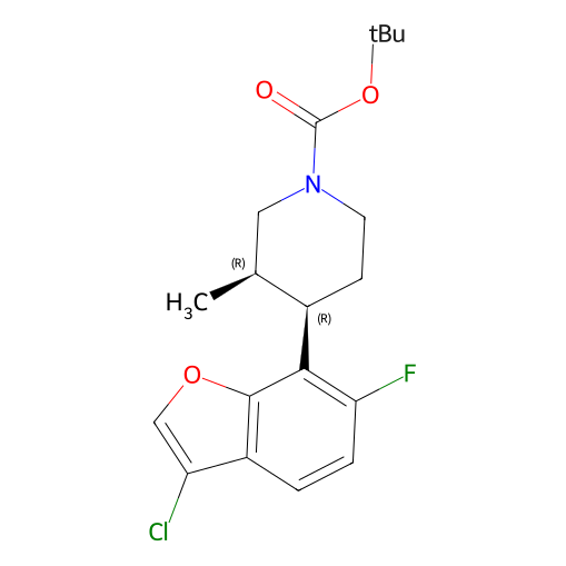 C[C@H]1CN(C(=O)OC(C)(C)C)CC[C@H]1c1c(F)ccc2c(Cl)coc12